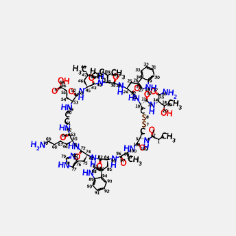 CCC(=O)N[C@H]1CSSC[C@@H](C(=O)N[C@H](C(N)=O)C(C)O)NC(=O)[C@H](Cc2c[nH]c3ccccc23)NC(=O)[C@H](C(C)C)NC(=O)[C@H](CC(C)C)NC(=O)[C@H](CCC(=O)O)NCCNC(=O)[C@H](CCCCN)NC(=O)[C@H](Cc2c[nH]cn2)NC(=O)[C@H](Cc2c[nH]c3ccccc23)NC(=O)[C@H](C)NC1=O